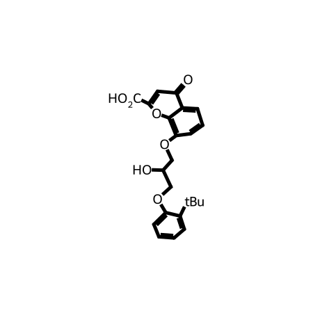 CC(C)(C)c1ccccc1OCC(O)COc1cccc2c(=O)cc(C(=O)O)oc12